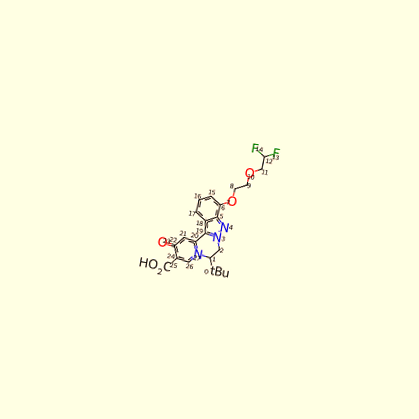 CC(C)(C)C1Cn2nc3c(OCCOCC(F)F)cccc3c2-c2cc(=O)c(C(=O)O)cn21